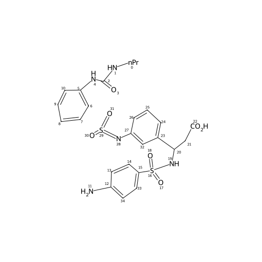 CCCNC(=O)Nc1ccccc1.Nc1ccc(S(=O)(=O)NC(CC(=O)O)c2cccc(N=S(=O)=O)c2)cc1